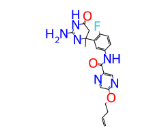 C=CCCOc1cnc(C(=O)Nc2ccc(F)c(C3(C)CC(=O)NC(N)=N3)c2)cn1